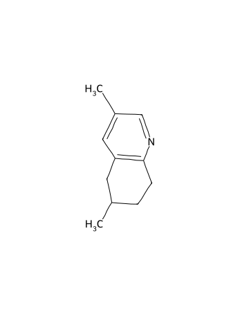 Cc1cnc2c(c1)CC(C)CC2